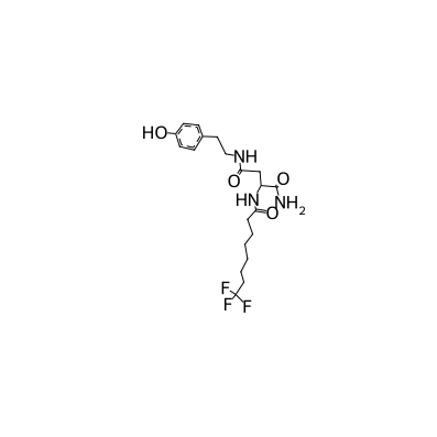 NC(=O)C(CC(=O)NCCc1ccc(O)cc1)NC(=O)CCCCCCC(F)(F)F